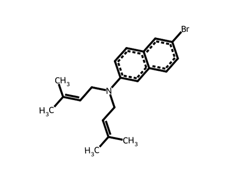 CC(C)=CCN(CC=C(C)C)c1ccc2cc(Br)ccc2c1